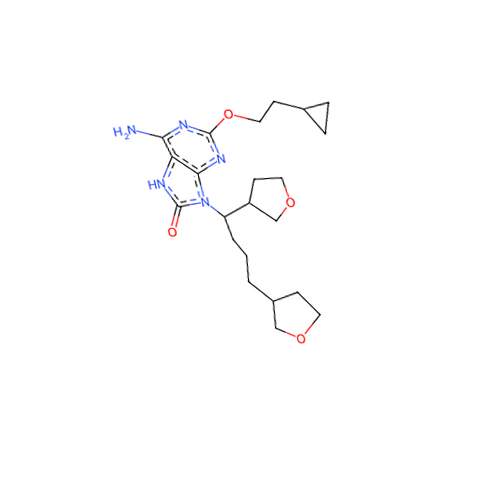 Nc1nc(OCCC2CC2)nc2c1[nH]c(=O)n2C(CCCC1CCOC1)C1CCOC1